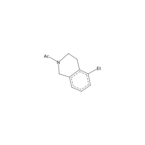 CCc1cccc2c1CCN(C(C)=O)C2